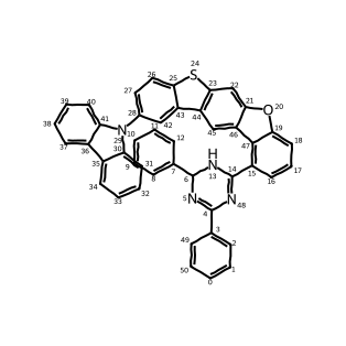 c1ccc(C2=NC(c3ccccc3)NC(c3cccc4oc5cc6sc7ccc(-n8c9ccccc9c9ccccc98)cc7c6cc5c34)=N2)cc1